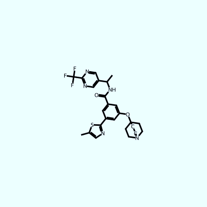 Cc1cnc(-c2cc(OC34CCN(CC3)CC4)cc(C(=O)NC(C)c3cnc(C(F)(F)F)nc3)c2)s1